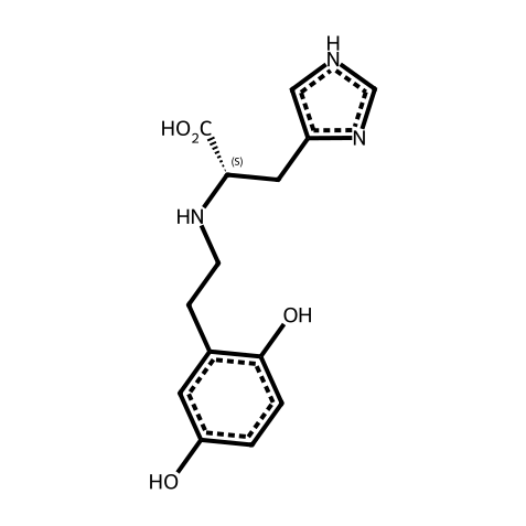 O=C(O)[C@H](Cc1c[nH]cn1)NCCc1cc(O)ccc1O